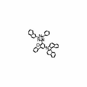 c1ccc(-c2nc(-c3ccc4ccccc4c3)nc(-c3cc(-n4c5ccc6ccccc6c5c5c6ccccc6ccc54)cc4c3oc3ccccc34)n2)cc1